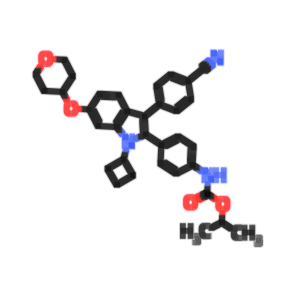 CC(C)OC(=O)Nc1ccc(-c2c(-c3ccc(C#N)cc3)c3ccc(OC4CCOCC4)cc3n2C2CCC2)cc1